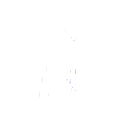 CCNCCCCC(F)(CC)c1c(C)cnn1C